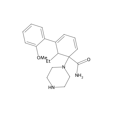 CCC1C(c2ccccc2OC)=CC=CC1(C(N)=O)N1CCNCC1